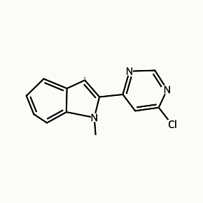 Cn1c(-c2cc(Cl)ncn2)[c]c2ccccc21